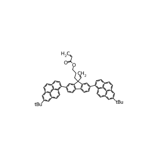 C=CC(=O)OCCCC1(C=C)c2cc(-c3ccc4ccc5cc(C(C)(C)C)cc6ccc3c4c56)ccc2-c2ccc(-c3ccc4ccc5cc(C(C)(C)C)cc6ccc3c4c56)cc21